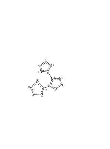 [c]1nnn(-c2nccs2)c1-c1ncco1